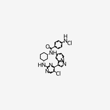 O=C(N[C@H]1CCC[C@@H](Nc2ncc(Cl)c(-c3cnn4ccccc34)n2)C1)c1ccc(NCl)cc1